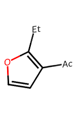 CCc1occc1C(C)=O